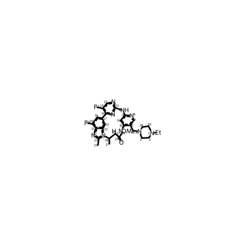 CCN1CCN(Cc2cnc(Nc3ncc(F)c(-c4cc(F)c5nc(C)n(C(C)CC(=O)OC)c5c4)n3)cc2N)CC1